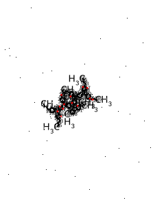 CCCCc1ccc(N(c2ccc(CCCC)cc2)c2ccc(N(c3ccc(CCCC)cc3)c3ccc(C4(c5ccc(N(c6ccc(CCCC)cc6)c6ccc(N(c7ccc(CCCC)cc7)c7ccc(CCCC)cc7)cc6)cc5)c5cc(C)ccc5-c5ccc(C(C)C)cc54)cc3)cc2)cc1